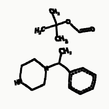 CC(C)(C)OC=O.CC(c1ccccc1)N1CCNCC1